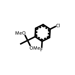 COC(C)(OC)c1ccc(Cl)cc1F